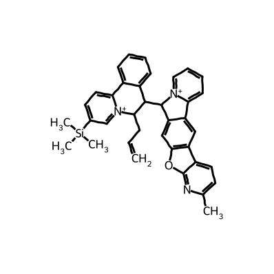 C=CCC1C(C2c3cc4oc5nc(C)ccc5c4cc3-c3cccc[n+]32)c2ccccc2-c2ccc([Si](C)(C)C)c[n+]21